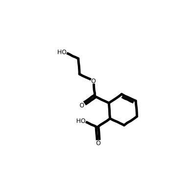 O=C(OCCO)C1C=CCCC1C(=O)O